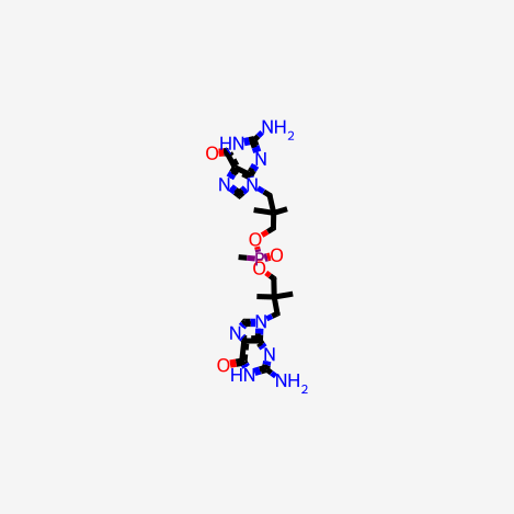 CC(C)(COP(C)(=O)OCC(C)(C)Cn1cnc2c(=O)[nH]c(N)nc21)Cn1cnc2c(=O)[nH]c(N)nc21